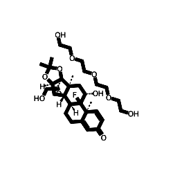 CC1(C)O[C@@H]2C[C@H]3[C@@H]4CCC5=CC(=O)C=C[C@]5(C)C4(F)[C@@H](O)C[C@]3(C)[C@]2(C(=O)CO)O1.OCCOCCOCCOCCO